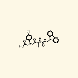 O=C(O)C[C@@H](CC(=O)NNC(=O)OCC1c2ccccc2-c2ccccc21)c1ccc(Cl)cc1